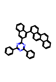 c1ccc(-c2nc(-c3ccccc3)nc(-c3cc(-c4cccc5c4ccc4c6ccccc6ccc54)c4ccccc4c3)n2)cc1